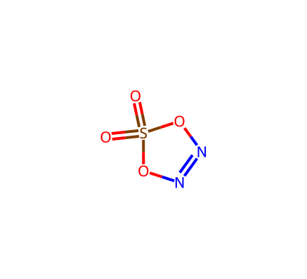 O=S1(=O)ON=NO1